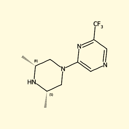 C[C@@H]1CN(c2cncc(C(F)(F)F)n2)C[C@H](C)N1